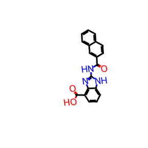 O=C(Nc1nc2c(C(=O)O)cccc2[nH]1)c1ccc2ccccc2c1